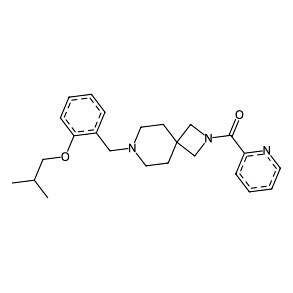 CC(C)COc1ccccc1CN1CCC2(CC1)CN(C(=O)c1ccccn1)C2